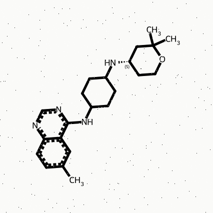 Cc1ccc2ncnc(NC3CCC(N[C@H]4CCOC(C)(C)C4)CC3)c2c1